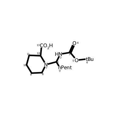 CCCCCC(NC(=O)OC(C)(C)C)N1CCCCC1C(=O)O